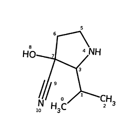 CC(C)C1NCCC1(O)C#N